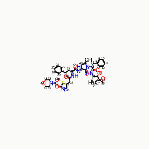 CC(C)C[C@H](NC(=O)[C@H](Cc1ccccc1)N1C(=O)[C@@H](NC(=O)[C@H](CCc2ccccc2)NC(=O)Cc2cnc(OC(=O)N3CCOCC3)s2)CC1C)C(=O)C1(C)CO1